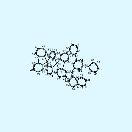 c1ccc(-c2cc(-n3c4c5c(ccc4c4ccc6ccccc6c43)C3(c4ccccc4-5)c4ccccc4C4(c5ccccc5-c5ccccc54)c4ccccc43)nc(-c3ccccc3)n2)cc1